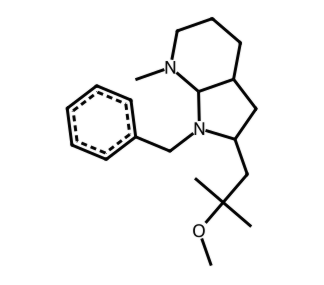 COC(C)(C)CC1CC2CCCN(C)C2N1Cc1ccccc1